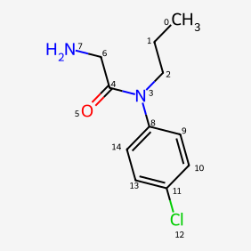 CCCN(C(=O)CN)c1ccc(Cl)cc1